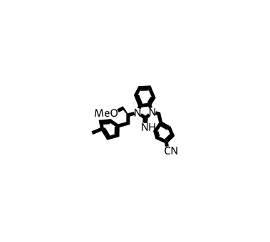 COC[C@H](Cc1ccc(C)cc1)n1c(=N)n(Cc2ccc(C#N)cc2)c2ccccc21